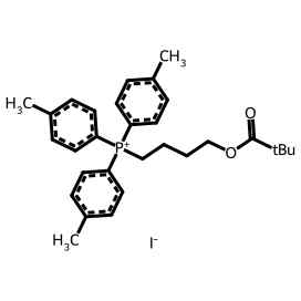 Cc1ccc([P+](CCCCOC(=O)C(C)(C)C)(c2ccc(C)cc2)c2ccc(C)cc2)cc1.[I-]